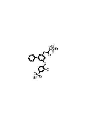 CCS(=O)(=O)NC(=O)Cc1cc(Oc2ccc(S(=O)(=O)CC)cc2Cl)cc(-c2ccccc2)c1